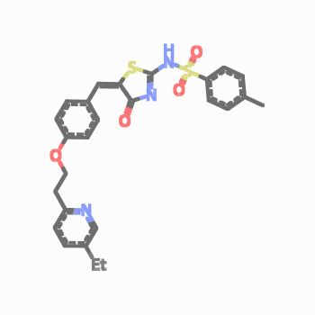 CCc1ccc(CCOc2ccc(C=C3SC(NS(=O)(=O)c4ccc(C)cc4)=NC3=O)cc2)nc1